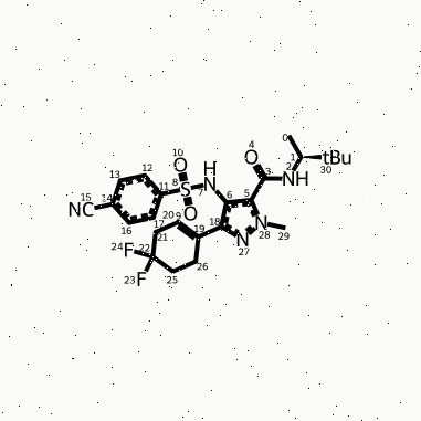 C[C@H](NC(=O)c1c(NS(=O)(=O)c2ccc(C#N)cc2)c(C2=CCC(F)(F)CC2)nn1C)C(C)(C)C